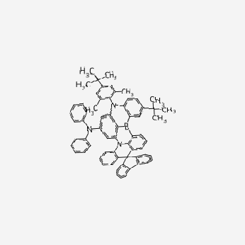 Cc1cc(C(C)(C)C)cc(C)c1N1c2ccc(C(C)(C)C)cc2B2c3cccc4c3N(c3ccccc3C43c4ccccc4-c4ccccc43)c3cc(N(c4ccccc4)c4ccccc4)cc1c32